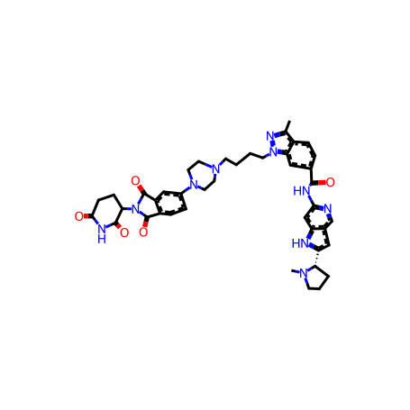 Cc1nn(CCCCN2CCN(c3ccc4c(c3)C(=O)N(C3CCC(=O)NC3=O)C4=O)CC2)c2cc(C(=O)Nc3cc4[nH]c([C@@H]5CCCN5C)cc4cn3)ccc12